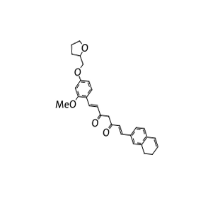 COc1cc(OCC2CCCO2)ccc1/C=C/C(=O)CC(=O)/C=C/c1ccc2c(c1)CCC=C2